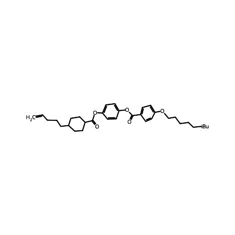 C=CCCCC1CCC(C(=O)Oc2ccc(OC(=O)c3ccc(OCCCCCC(C)CC)cc3)cc2)CC1